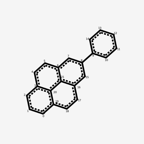 [c]1ccc2ccc3cc(-c4ccccc4)cc4ccc1c2c43